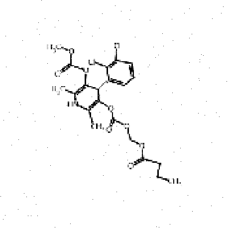 CCCC(=O)OCOC(=O)OC1=C(C)NC(C)=C(OC(=O)OC)[C@@H]1c1cccc(Cl)c1Cl